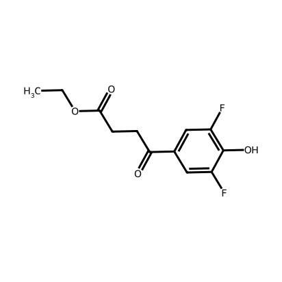 CCOC(=O)CCC(=O)c1cc(F)c(O)c(F)c1